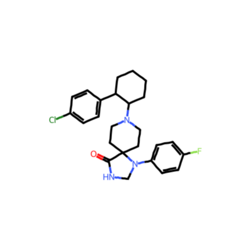 O=C1NCN(c2ccc(F)cc2)C12CCN(C1CCCCC1c1ccc(Cl)cc1)CC2